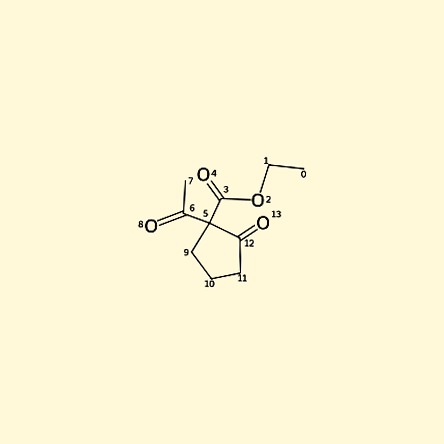 CCOC(=O)C1(C(C)=O)CCCC1=O